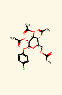 CC(=O)OC[C@H]1O[C@@H](Oc2ccc(Cl)cc2)[C@H](OC(C)=O)[C@@H](OC(C)=O)[C@@H]1OC(C)=O